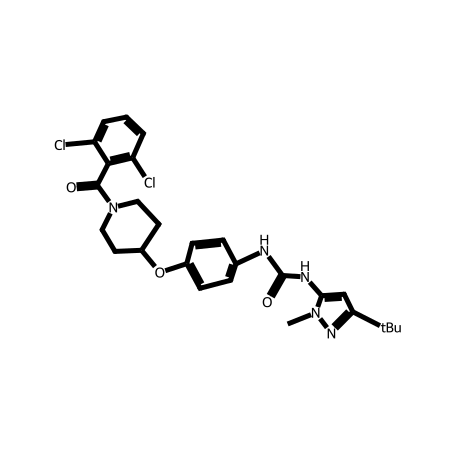 Cn1nc(C(C)(C)C)cc1NC(=O)Nc1ccc(OC2CCN(C(=O)c3c(Cl)cccc3Cl)CC2)cc1